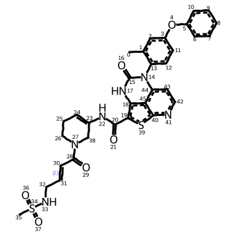 Cc1cc(Oc2ccccc2)ccc1N1C(=O)Nc2c(C(=O)NC3=CCCN(C(=O)/C=C/CNS(C)(=O)=O)C3)sc3nccc1c23